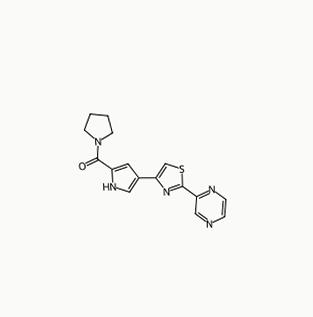 O=C(c1cc(-c2csc(-c3cnccn3)n2)c[nH]1)N1CCCC1